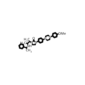 COc1ccc(N2CCN(c3ccc(N4CCN([C@H](C)C(C)NC(C)c5ccccc5)C4=O)cc3)CC2)cc1